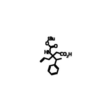 C=CCC(CC(=O)O)(NC(=O)OC(C)(C)C)C(C)c1ccccc1